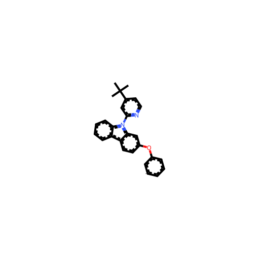 CC(C)(C)c1ccnc(-n2c3ccccc3c3ccc(Oc4c[c]ccc4)cc32)c1